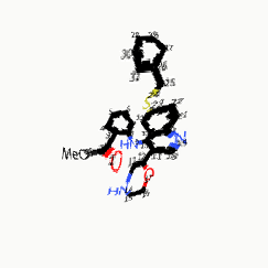 COC(=O)c1ccccc1Nc1c(C2CNCCO2)cnc2ccc(SCc3ccccc3)cc12